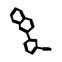 COc1cc[c]c(-c2ccc3ccccc3c2)c1